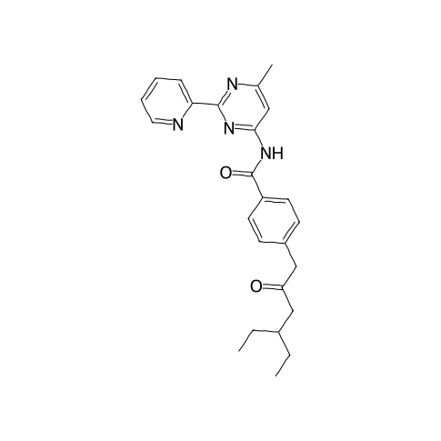 CCC(CC)CC(=O)Cc1ccc(C(=O)Nc2cc(C)nc(-c3ccccn3)n2)cc1